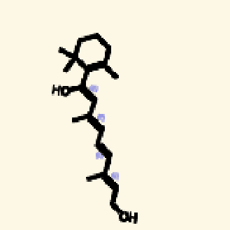 CC1=C(/C(O)=C/C(C)=C/C=C/C(C)=C/CO)C(C)(C)CCC1